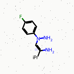 CC(C)/C(N)=C/N(N)c1ccc(F)cc1